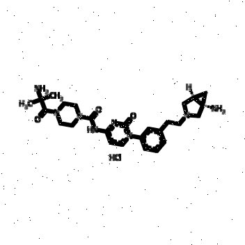 CC(C)(N)C(=O)N1CCN(C(=O)Nc2ccn(-c3cccc(CCN4C[C@H]5C[C@@]5(N)C4)c3)c(=O)n2)CC1.Cl